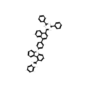 c1ccc(-c2nc(-c3ccccc3)nc(-c3ccc(-c4ccc(-n5c6ccccc6c6c(-c7nc8ccccc8s7)cccc65)cc4)c4ccccc34)n2)cc1